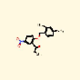 CCC(=O)c1cc([N+](=O)[O-])ccc1OCc1ccc(C)cc1C